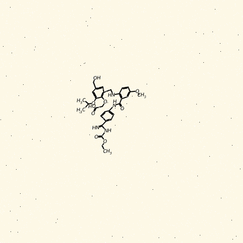 CCOC(=O)NC(=N)c1ccc(NC(=O)c2cc(OC)ccc2NCc2cc(CO)cc(OC(C)C)c2OCC(=O)O)cc1